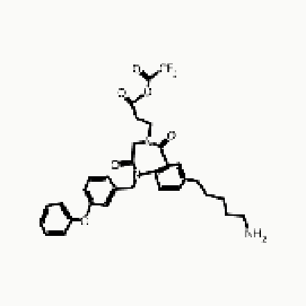 NCCCCCc1ccc2c(c1)C(=O)N(CCC(=O)OC(=O)C(F)(F)F)CC(=O)N2Cc1cccc(Oc2ccccc2)c1